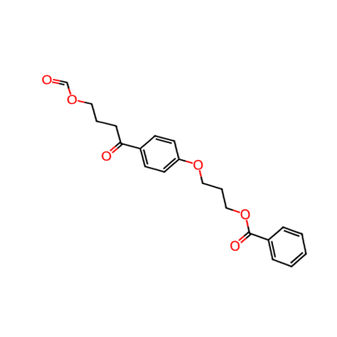 O=COCCCC(=O)c1ccc(OCCCOC(=O)c2ccccc2)cc1